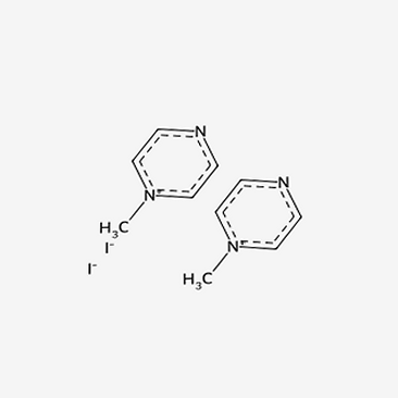 C[n+]1ccncc1.C[n+]1ccncc1.[I-].[I-]